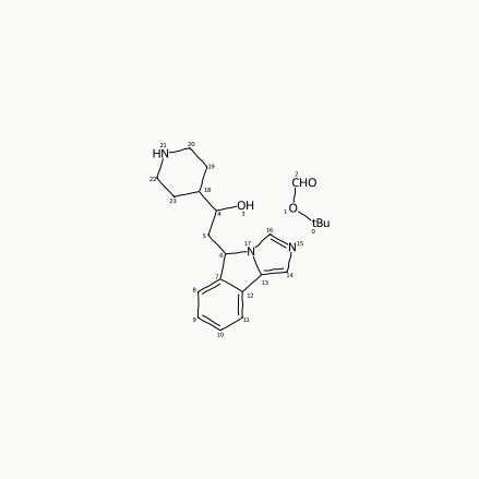 CC(C)(C)OC=O.OC(CC1c2ccccc2-c2cncn21)C1CCNCC1